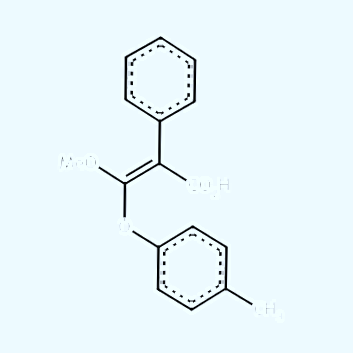 COC(Oc1ccc(C)cc1)=C(C(=O)O)c1ccccc1